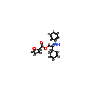 O=C(OCC(Nc1ccccc1)c1ccccc1)c1ccco1